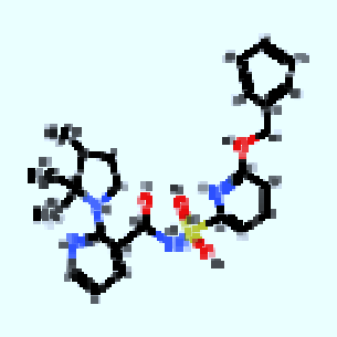 CC1CCN(c2ncccc2C(=O)NS(=O)(=O)c2cccc(OCc3ccccc3)n2)C1(C)C